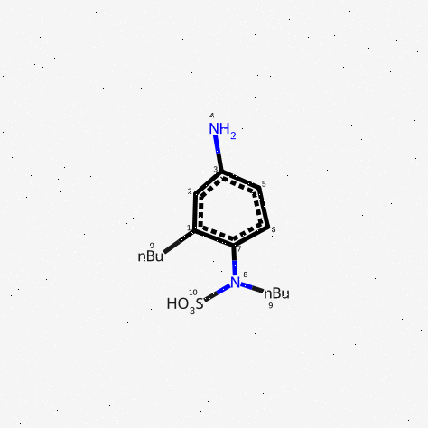 CCCCc1cc(N)ccc1N(CCCC)S(=O)(=O)O